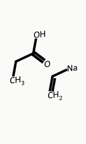 C=[CH][Na].CCC(=O)O